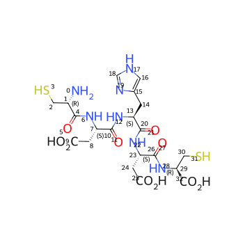 N[C@@H](CS)C(=O)N[C@@H](CC(=O)O)C(=O)N[C@@H](Cc1c[nH]cn1)C(=O)N[C@@H](CC(=O)O)C(=O)N[C@@H](CS)C(=O)O